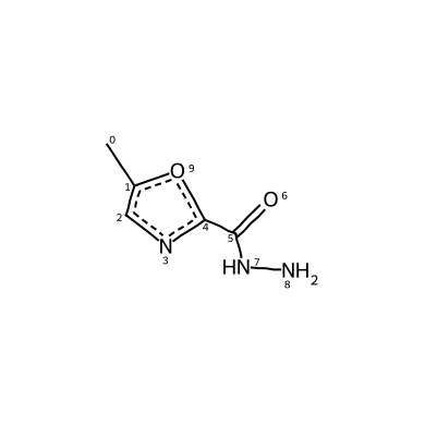 Cc1cnc(C(=O)NN)o1